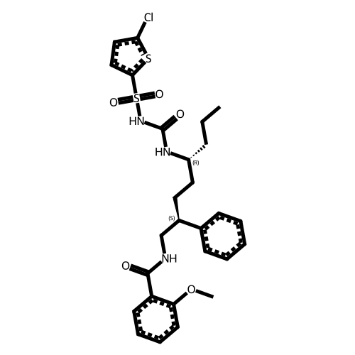 CCC[C@H](CC[C@H](CNC(=O)c1ccccc1OC)c1ccccc1)NC(=O)NS(=O)(=O)c1ccc(Cl)s1